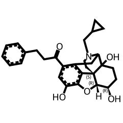 O=C(CCc1ccccc1)c1cc(O)c2c3c1CC1N(CC4CC4)CC[C@@]34[C@@H](O2)[C@H](O)CCC14O